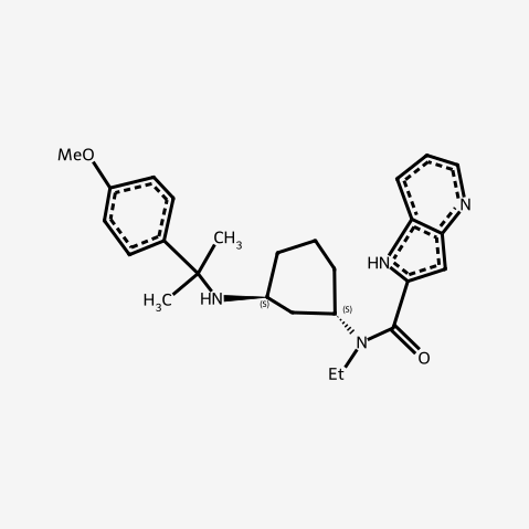 CCN(C(=O)c1cc2ncccc2[nH]1)[C@H]1CCC[C@H](NC(C)(C)c2ccc(OC)cc2)C1